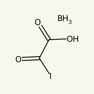 B.O=C(O)C(=O)I